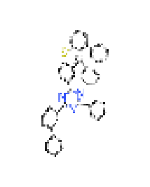 C1=CC(c2nc(-c3ccccc3)nc(-c3ccc4c(c3)[Si@@](C3=CCCC=C3)(c3ccccc3)c3ccccc3S4)n2)CC(c2ccccc2)=C1